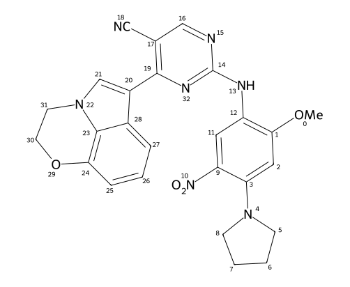 COc1cc(N2CCCC2)c([N+](=O)[O-])cc1Nc1ncc(C#N)c(-c2cn3c4c(cccc24)OCC3)n1